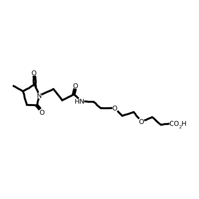 CC1CC(=O)N(CCC(=O)NCCOCCOCCC(=O)O)C1=O